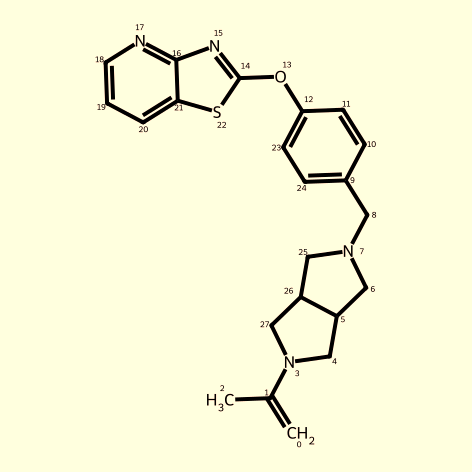 C=C(C)N1CC2CN(Cc3ccc(Oc4nc5ncccc5s4)cc3)CC2C1